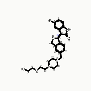 O=C1Nc2ccc(F)cc2/C1=C1\OCc2cc(CN3CCN(CCOCCO)CC3)ccc21